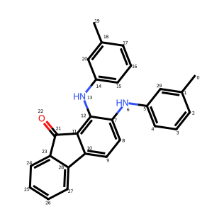 Cc1cccc(Nc2ccc3c(c2Nc2cccc(C)c2)C(=O)c2ccccc2-3)c1